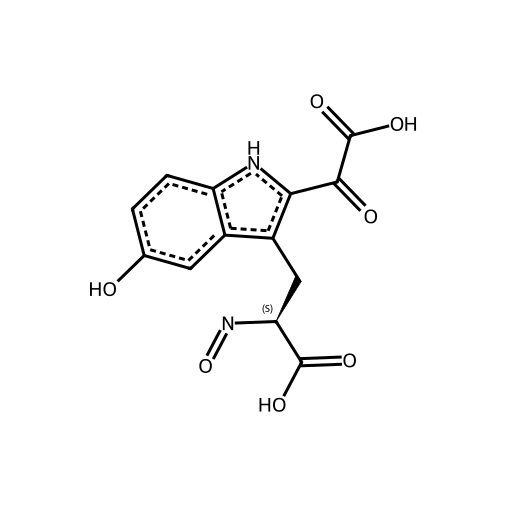 O=N[C@@H](Cc1c(C(=O)C(=O)O)[nH]c2ccc(O)cc12)C(=O)O